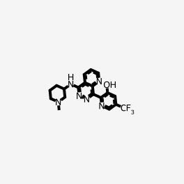 CN1CCCC(Nc2nnc(-c3ncc(C(F)(F)F)cc3O)c3ncccc23)C1